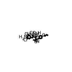 C=CCOc1ccc(-c2noc(C)c2C(=O)N(Cc2cc(Cl)c(N)c(Cl)c2)C(=N)NC(=O)O)cc1